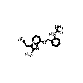 C#CCc1c(C)nc2c(OCc3ccccc3NC(N)=O)cccn12